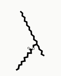 CCCCCCCCCCCCCCC(CCCCC)COC(=O)CCCCCCCCCC